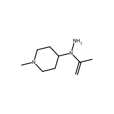 C=C(C)N(N)C1CCN(C)CC1